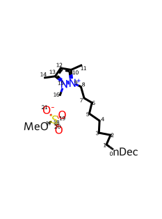 CCCCCCCCCCCCCCCCCC[n+]1c(C)cc(C)n1C.COS(=O)(=O)[O-]